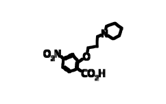 O=C(O)c1ccc([N+](=O)[O-])cc1OCCCN1CCCCC1